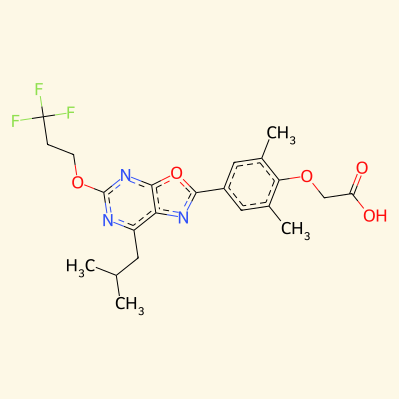 Cc1cc(-c2nc3c(CC(C)C)nc(OCCC(F)(F)F)nc3o2)cc(C)c1OCC(=O)O